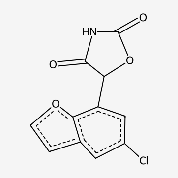 O=C1NC(=O)C(c2cc(Cl)cc3ccoc23)O1